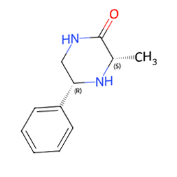 C[C@@H]1N[C@H](c2ccccc2)CNC1=O